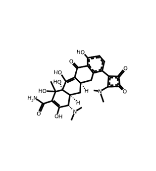 CN(C)c1c(-c2ccc(O)c3c2C[C@H]2C[C@H]4[C@H](N(C)C)C(O)=C(C(N)=O)C(C)(O)[C@@]4(O)C(O)=C2C3=O)c(=O)c1=O